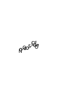 C=CC(=O)OCC(CSc1ccc2cc(-c3cccnc3)oc2c1)CC(F)(F)F